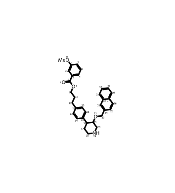 COc1cccc(C(=O)OCCCc2ccc(C3CCNCC3OCc3ccc4ccccc4c3)cc2)c1